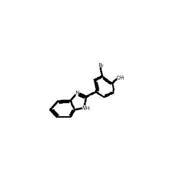 Oc1ccc(-c2nc3ccccc3[nH]2)cc1Br